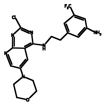 Nc1cc(CCNc2nc(Cl)nc3ncc(N4CCOCC4)cc23)cc(C(F)(F)F)c1